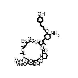 CCC1/C=C(\C)CC(C)CC(OC)C2OC(O)(C(=O)C(=O)N3CCCCC3C(=O)OC(C(C)=CC3CCC(N)C(OCC=Cc4ccc(O)cc4)C3)C(C)CCC1=O)C(C)CC2OC